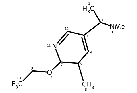 CNC(C)C1=CC(C)C(OCC(F)(F)F)N=C1